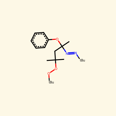 CC(C)(C)N=NC(C)(CC(C)(C)OOC(C)(C)C)Oc1ccccc1